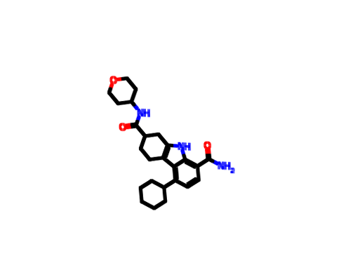 NC(=O)c1ccc(C2CCCCC2)c2c3c([nH]c12)CC(C(=O)NC1CCOCC1)CC3